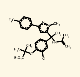 C=C(C)NC(C)(c1ccc(OC(C)(C)C(=O)OCC)c(Cl)c1)c1cc(-c2ccc(C(F)(F)F)cc2)nn1C